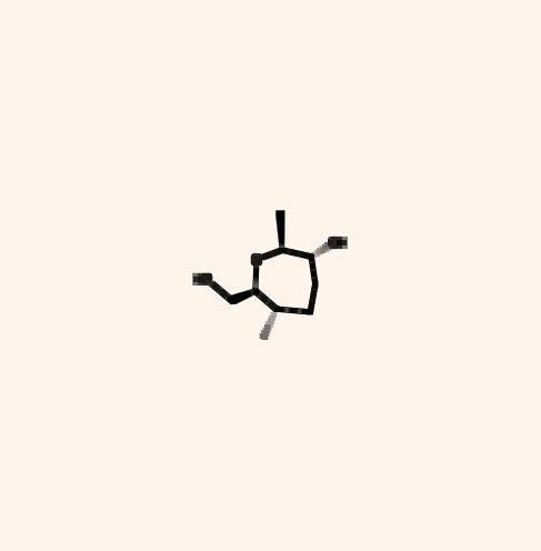 C[C@@H]1O[C@H](CO)[C@@H](C)CC[C@H]1O